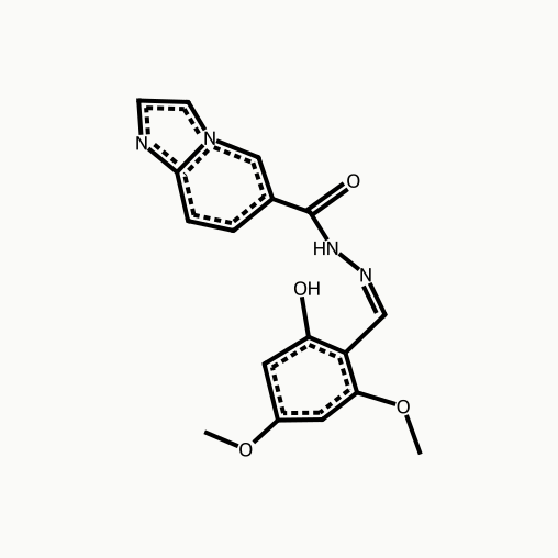 COc1cc(O)c(/C=N\NC(=O)c2ccc3nccn3c2)c(OC)c1